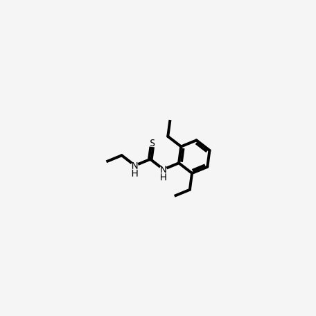 CCNC(=S)Nc1c(CC)cccc1CC